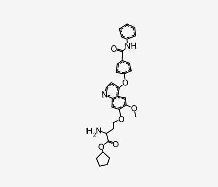 COc1cc2c(Oc3ccc(C(=O)Nc4ccccc4)cc3)ccnc2cc1OCCC(N)C(=O)OC1CCCC1